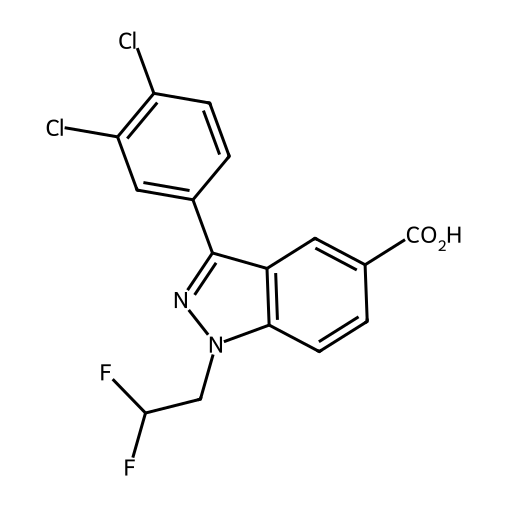 O=C(O)c1ccc2c(c1)c(-c1ccc(Cl)c(Cl)c1)nn2CC(F)F